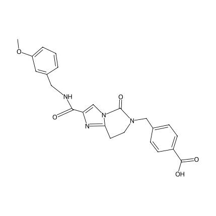 COc1cccc(CNC(=O)c2cn3c(n2)CCN(Cc2ccc(C(=O)O)cc2)C3=O)c1